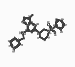 Cc1cnn2c(NCc3cccnc3)cc(C3CCCN(S(=O)(=O)c4cccs4)C3)nc12